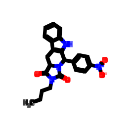 CCCCN1C(=O)C2Cc3c([nH]c4ccccc34)C(c3ccc([N+](=O)[O-])cc3)N2C1=O